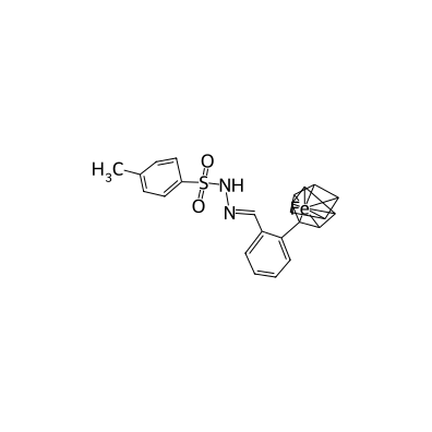 Cc1ccc(S(=O)(=O)NN=Cc2ccccc2[C]23[CH]4[CH]5[CH]6[CH]2[Fe]56432789[CH]3[CH]2[CH]7[CH]8[CH]39)cc1